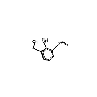 O=Nc1cccc(CO)c1O